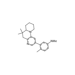 CNc1ccc(C)c(-c2cnc3c(c2)N2CCCCC2C(C)(C)C3)c1